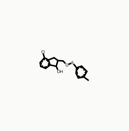 Cc1ccc(SOCC2Cc3c(Cl)cccc3C2O)cc1